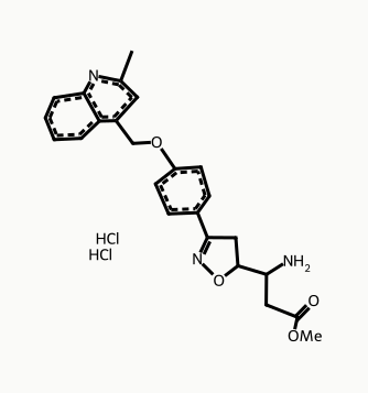 COC(=O)CC(N)C1CC(c2ccc(OCc3cc(C)nc4ccccc34)cc2)=NO1.Cl.Cl